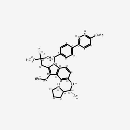 COc1ccc(-c2ccc(Cn3c(CC(C)(C)C(=O)O)c(SC(C)(C)C)c4cc(O[C@H](C(C)=O)C5CCCN5)ccc43)cc2)nn1